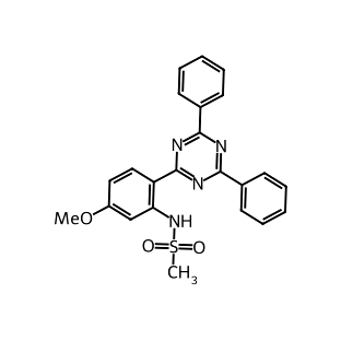 COc1ccc(-c2nc(-c3ccccc3)nc(-c3ccccc3)n2)c(NS(C)(=O)=O)c1